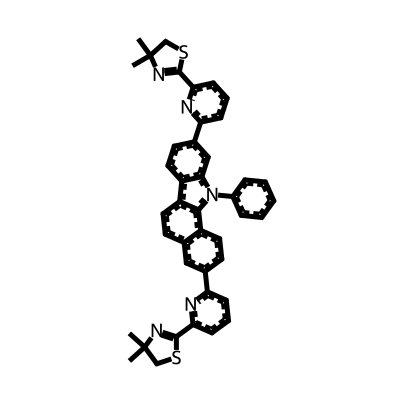 CC1(C)CSC(c2cccc(-c3ccc4c(ccc5c6ccc(-c7cccc(C8=NC(C)(C)CS8)n7)cc6n(-c6ccccc6)c45)c3)n2)=N1